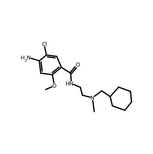 COc1cc(N)c(Cl)cc1C(=O)NCCN(C)CC1CCCCC1